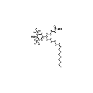 CCCCCCCC/C=C\CCCCCC(CCCCC(=O)O)c1cc(C(C)(C)C)c(O)c(C(C)(C)C)c1